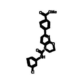 COC(=O)c1ccc(-c2ccc3c(n2)OCCN3C(=O)Nc2cccc(Cl)c2)cc1